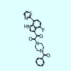 O=C(C(=O)N1CCN(C(=O)c2ccccc2)CC1)c1c[nH]c2c(-c3nccs3)ccc(F)c12